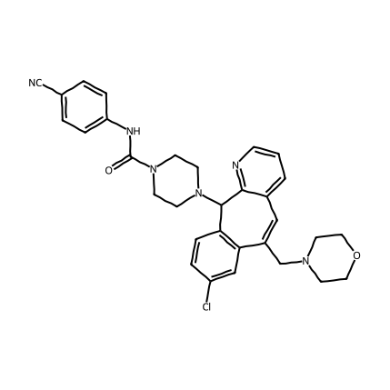 N#Cc1ccc(NC(=O)N2CCN(C3c4ccc(Cl)cc4C(CN4CCOCC4)=Cc4cccnc43)CC2)cc1